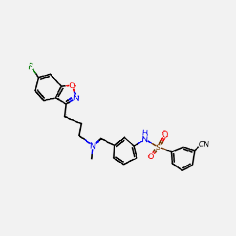 CN(CCCc1noc2cc(F)ccc12)Cc1cccc(NS(=O)(=O)c2cccc(C#N)c2)c1